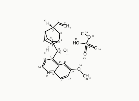 C=C[C@@H]1CN2CCC1C[C@@H]2[C@H](O)c1ccnc2ccc(OC)cc12.O=S(=O)(O)OCl